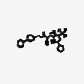 O=C(NCCc1ccc(-c2ccccc2)cc1)c1cnn2c1NC(c1ccccc1)CC2C(F)(F)F